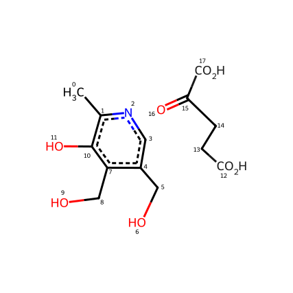 Cc1ncc(CO)c(CO)c1O.O=C(O)CCC(=O)C(=O)O